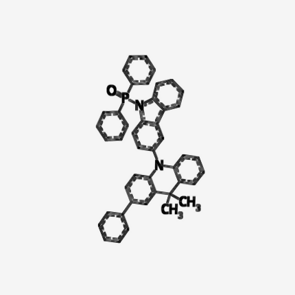 CC1(C)c2ccccc2N(c2ccc3c(c2)c2ccccc2n3P(=O)(c2ccccc2)c2ccccc2)c2ccc(-c3ccccc3)cc21